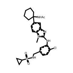 CC(=O)NC1(c2ccc3c(c2)nc(Nc2cc(CNS(=O)(=O)C4CC4)ccc2Cl)n3C)CCCCC1